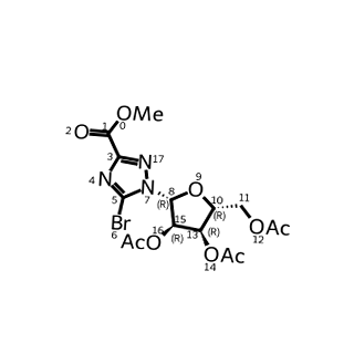 COC(=O)c1nc(Br)n([C@@H]2O[C@H](COC(C)=O)[C@@H](OC(C)=O)[C@H]2OC(C)=O)n1